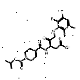 CC(C)OC(=O)N1CCC(C(=O)NC(CC(=O)O)C(=O)COc2c(F)c(F)cc(F)c2F)CC1